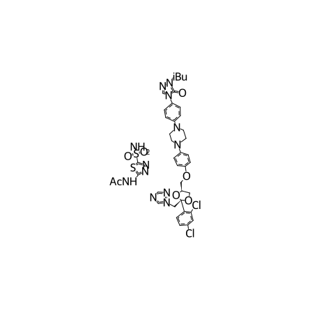 CC(=O)Nc1nnc(S(N)(=O)=O)s1.CCC(C)n1ncn(-c2ccc(N3CCN(c4ccc(OC[C@H]5CO[C@](Cn6cncn6)(c6ccc(Cl)cc6Cl)O5)cc4)CC3)cc2)c1=O